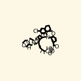 CO[C@@]1(CN2CCN3CCOC[C@@H]3C2)/C=C/[C@H](C)[C@H](C)CS(=O)(=O)NC(=O)c2ccc3c(c2)N(C[C@@H]2CC[C@H]21)C[C@@]1(CCCc2cc(Cl)ccc21)CO3